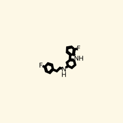 Fc1ccc(CCNC2CCc3[nH]c4c(F)cccc4c3C2)cc1